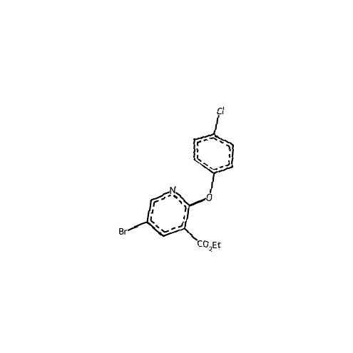 CCOC(=O)c1cc(Br)cnc1Oc1ccc(Cl)cc1